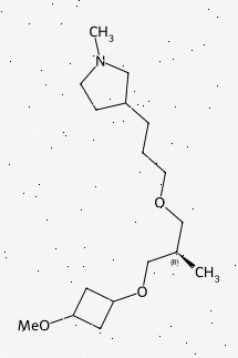 COC1CC(OC[C@H](C)COCCCC2CCN(C)C2)C1